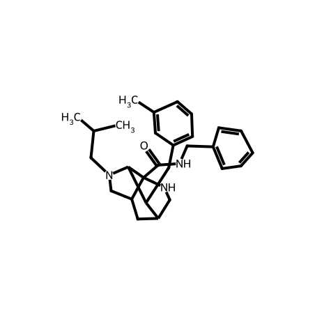 Cc1cccc(CC2C3CNC4(C(=O)NCc5ccccc5)C(C3)CN(CC(C)C)C24)c1